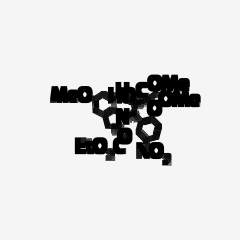 CCOC(=O)O[C@H]1Cc2cc(OC)ccc2N1[C@@H]1c2cc([N+](=O)[O-])ccc2O[C@](C)(C(OC)OC)[C@H]1O